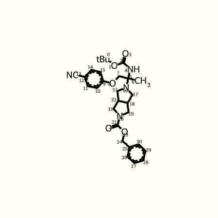 CC(C)(C)OC(=O)NC(C)(COc1ccc(C#N)cc1)N1CC2CN(C(=O)OCc3ccccc3)CC2C1